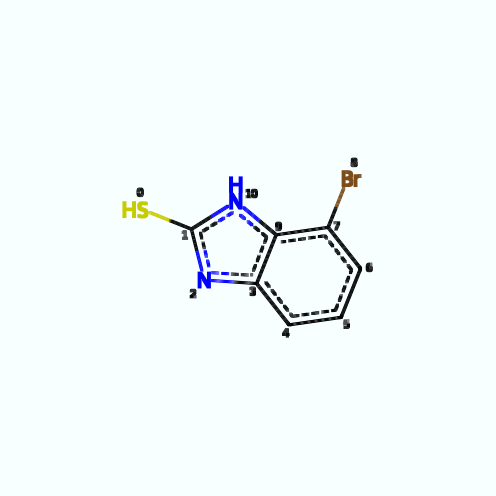 Sc1nc2cccc(Br)c2[nH]1